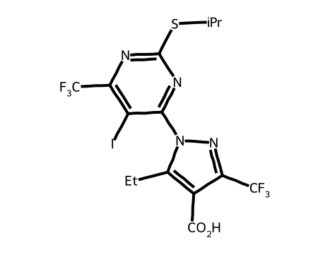 CCc1c(C(=O)O)c(C(F)(F)F)nn1-c1nc(SC(C)C)nc(C(F)(F)F)c1I